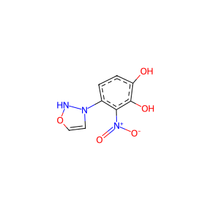 O=[N+]([O-])c1c(N2C=CON2)ccc(O)c1O